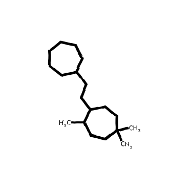 CC1CCC(C)(C)CCC1CCC1CCCCCC1